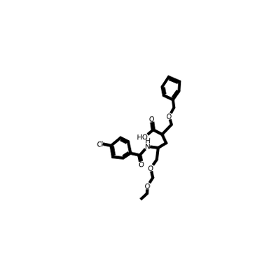 CCOCOCC(CC(COCc1ccccc1)C(=O)O)NC(=O)c1ccc(Cl)cc1